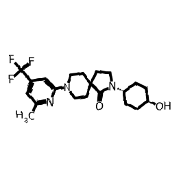 Cc1cc(C(F)(F)F)cc(N2CCC3(CC2)CCN([C@H]2CC[C@H](O)CC2)C3=O)n1